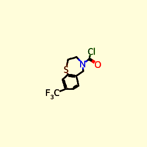 O=C(Cl)N1CCSc2cc(C(F)(F)F)ccc2C1